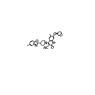 Cc1ccc2oc(C3CCN(c4c(C#N)c(=O)n(C)c5cc(O[C@@H]6CCOC6)c(C)cc45)CC3)nc2c1